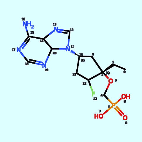 CC[C@]1(OCP(=O)(O)O)C[C@@H](N2C=NC3C(N)=NC=NC32)CC1F